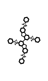 C[Si](C)(c1ccccc1)c1ccc2c(c1)-c1cc([Si](C)(C)c3ccccc3)cc(-c3cc([Si](C)(C)c4ccccc4)cc4c3Cc3ccc([Si](C)(C)c5ccccc5)cc3-4)c1C2